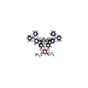 Cc1cc(C)c2c3c1Oc1cc4c(cc1B3c1cc3c(cc1O2)-c1ccc(N(c2ccccc2)c2ccccc2)cc1C3(C)C)C(C)(C)c1cc(N(c2ccccc2)c2ccccc2)ccc1-4